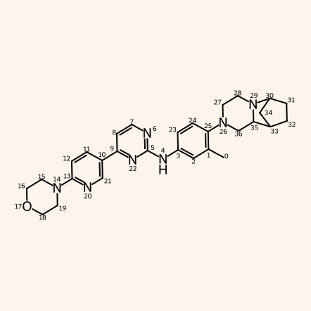 Cc1cc(Nc2nccc(-c3ccc(N4CCOCC4)nc3)n2)ccc1N1CCN2C3CCC(C3)C2C1